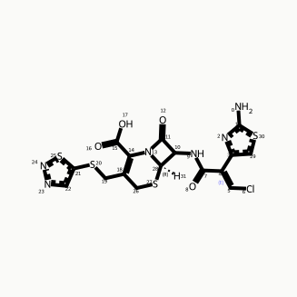 Nc1nc(/C(=C\Cl)C(=O)NC2C(=O)N3C(C(=O)O)=C(CSc4cnns4)CS[C@H]23)cs1